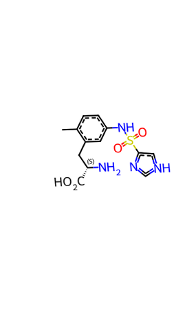 Cc1ccc(NS(=O)(=O)c2c[nH]cn2)cc1C[C@H](N)C(=O)O